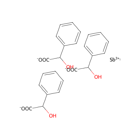 O=C([O-])C(O)c1ccccc1.O=C([O-])C(O)c1ccccc1.O=C([O-])C(O)c1ccccc1.[Sb+3]